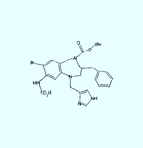 CC(C)(C)OC(=O)N1Cc2cc(Br)c(NC(=O)O)cc2N(Cc2c[nH]cn2)CC1Cc1ccccc1